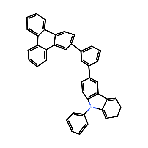 C1=c2c(n(-c3ccccc3)c3ccc(-c4cccc(-c5ccc6c7ccccc7c7ccccc7c6c5)c4)cc23)=CCC1